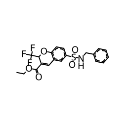 CCOC(=O)C1=Cc2cc(S(=O)(=O)NCc3ccccc3)ccc2OC1C(F)(F)F